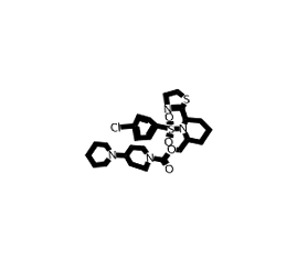 O=C(OCC1CCCC(C2=NCCS2)N1S(=O)(=O)c1ccc(Cl)cc1)N1CCC(N2CCCCC2)CC1